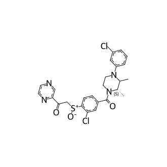 CC1[C@H](C)N(C(=O)c2ccc([S+]([O-])CC(=O)c3cnccn3)c(Cl)c2)CCN1c1cccc(Cl)c1